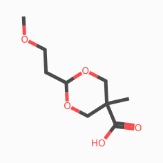 COCCC1OCC(C)(C(=O)O)CO1